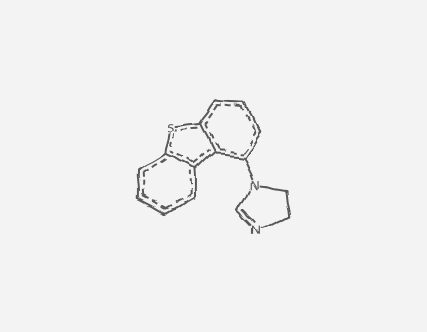 C1=NCCN1c1cccc2sc3ccccc3c12